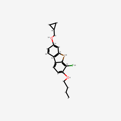 CCCCOc1ccc2c(sc3cc(OCC4CC4)ccc32)c1F